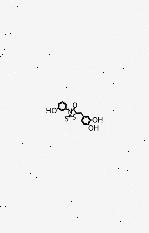 O=C1/C(=C/c2ccc(O)c(O)c2)SC(=S)N1c1cccc(O)c1